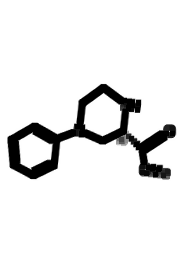 COC(=O)[C@@H]1CN(c2ccccc2)CCN1